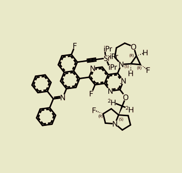 [2H]C([2H])(Oc1nc(N2CCCO[C@H]3[C@H](F)[C@H]32)c2cnc(-c3cc(N=C(c4ccccc4)c4ccccc4)cc4ccc(F)c(C#C[Si](C(C)C)(C(C)C)C(C)C)c34)c(F)c2n1)[C@@]12CCCN1C[C@H](F)C2